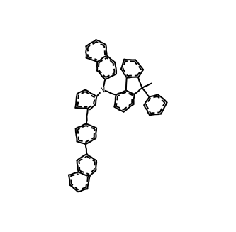 CC1(c2ccccc2)c2ccccc2-c2c(N(c3cccc(-c4ccc(-c5ccc6ccccc6c5)cc4)c3)c3ccc4ccccc4c3)cccc21